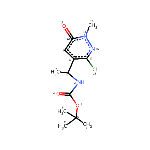 CC(NC(=O)OC(C)(C)C)c1cc(=O)n(C)nc1Cl